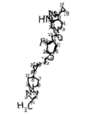 Cc1cnc(N2CCC([C@H]3C[C@H]3CCOc3ccc(CC(=O)N4CCc5c(C6CC6)n[nH]c5C4)c(F)c3)CC2)nc1